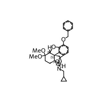 COC1(OC)CC[C@]23OCC[N+]4(CC5CC5)CC[C@@]25c2c(ccc(OCc6ccccc6)c2O[C@@H]15)C[C@H]34